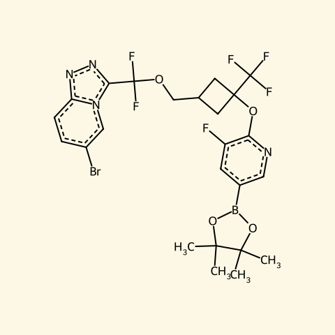 CC1(C)OB(c2cnc(OC3(C(F)(F)F)CC(COC(F)(F)c4nnc5ccc(Br)cn45)C3)c(F)c2)OC1(C)C